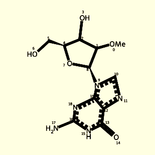 COC1C(O)[C@H](CO)O[C@@H]1n1cnc2c(=O)[nH]c(N)nc21